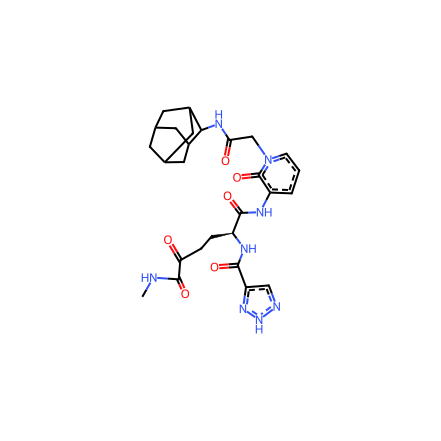 CNC(=O)C(=O)CC[C@H](NC(=O)c1cn[nH]n1)C(=O)Nc1cccn(CC(=O)NC2C3CC4CC(C3)CC2C4)c1=O